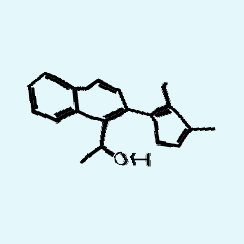 CC1=CCC(c2ccc3ccccc3c2C(C)O)=C1C